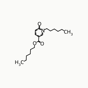 CCCCCCOC(=O)c1ccc(=O)n(CCCCCC)c1